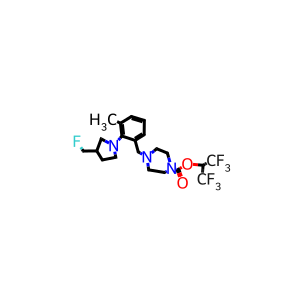 Cc1cccc(CN2CCN(C(=O)OC(C(F)(F)F)C(F)(F)F)CC2)c1N1CCC(CF)C1